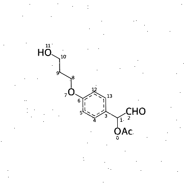 CC(=O)OC(C=O)c1ccc(OCCCO)cc1